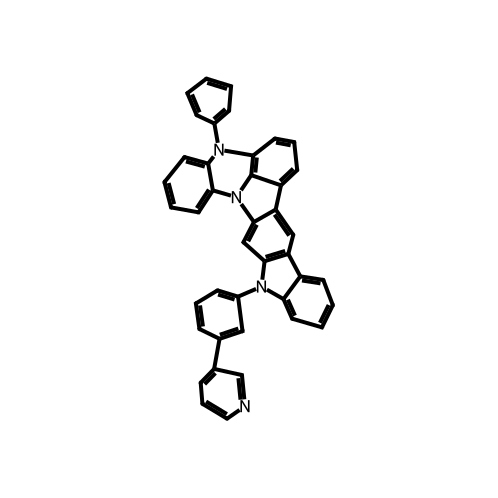 c1ccc(N2c3ccccc3-n3c4cc5c(cc4c4cccc2c43)c2ccccc2n5-c2cccc(-c3cccnc3)c2)cc1